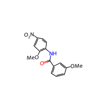 COc1cccc(C(=O)Nc2ccc([N+](=O)[O-])cc2OC)c1